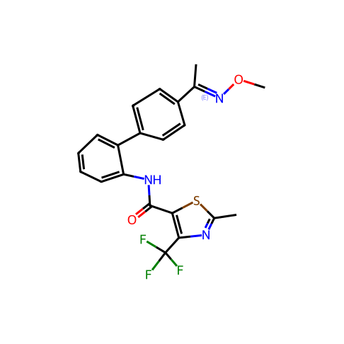 CO/N=C(\C)c1ccc(-c2ccccc2NC(=O)c2sc(C)nc2C(F)(F)F)cc1